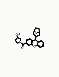 O=C(c1ccc2c(c1)Oc1ccccc1C2C1CC2CCC(C1)N2)N1CCC(O)C1